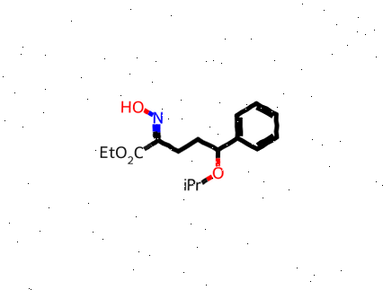 CCOC(=O)C(CCC(OC(C)C)c1ccccc1)=NO